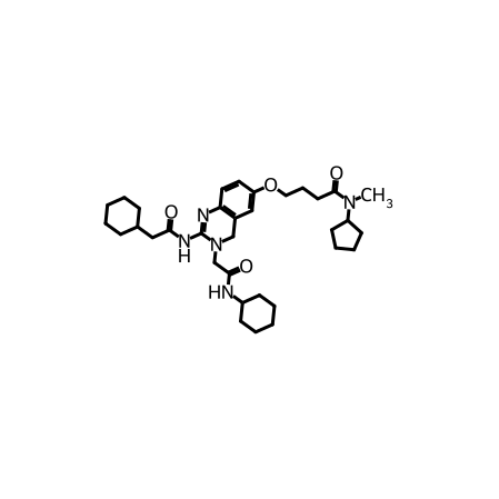 CN(C(=O)CCCOc1ccc2c(c1)CN(CC(=O)NC1CCCCC1)C(NC(=O)CC1CCCCC1)=N2)C1CCCC1